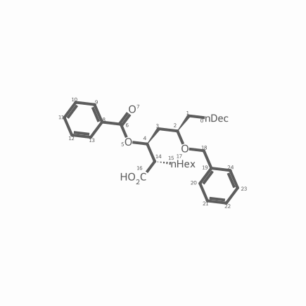 CCCCCCCCCCC[C@H](C[C@H](OC(=O)c1ccccc1)[C@H](CCCCCC)C(=O)O)OCc1ccccc1